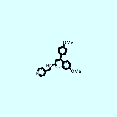 COc1ccc(C(=CC(=O)NCc2ccncc2)c2ccc(OC)cc2)cc1